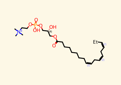 CC/C=C\C/C=C\C/C=C\CCCCCCCC(=O)OC[C@@H](O)COP(=O)(O)OCC[N+](C)(C)C